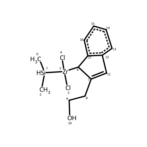 C[SiH](C)[Zr]([Cl])([Cl])[CH]1C(CCO)=Cc2ccccc21